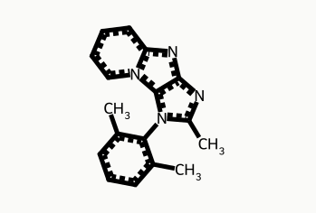 Cc1cccc(C)c1-n1c(C)nc2nc3ccccn3c21